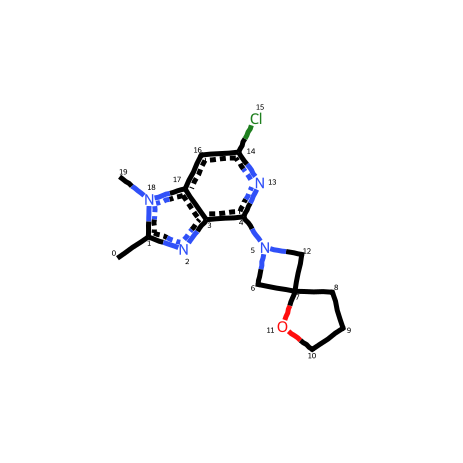 Cc1nc2c(N3CC4(CCCO4)C3)nc(Cl)cc2n1C